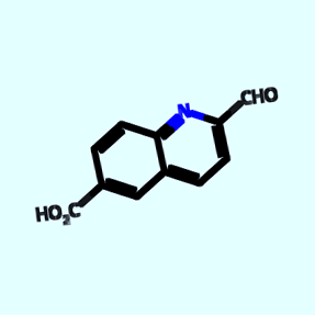 O=Cc1ccc2cc(C(=O)O)ccc2n1